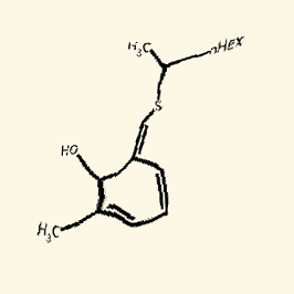 CCCCCCC(C)SC=C1C=CC=C(C)C1O